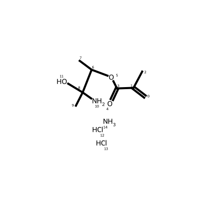 C=C(C)C(=O)OC(C)C(C)(N)O.Cl.Cl.N